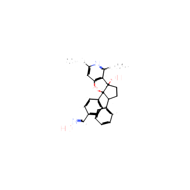 COc1cc2c(c(OC)n1)C1(O)CCC(c3ccccc3)C1(c1ccc(/C=N/O)cc1)O2